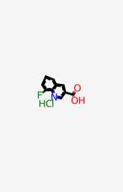 Cl.O=C(O)c1cnc2c(F)cccc2c1